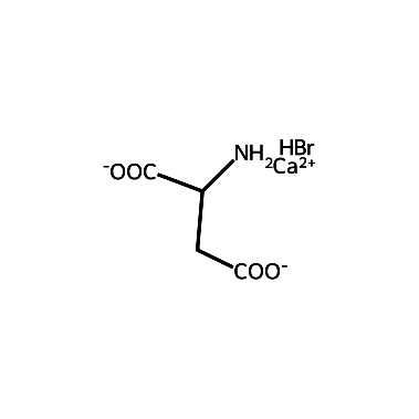 Br.NC(CC(=O)[O-])C(=O)[O-].[Ca+2]